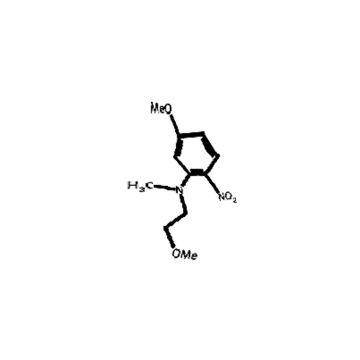 COCCN(C)c1cc(OC)ccc1[N+](=O)[O-]